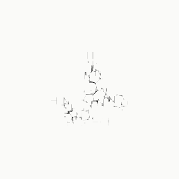 C[C@]1(N2CCc3c(-c4cnc(N)nc4)nc(N4CCOCC4)nc32)CCN(C(=O)C(F)(F)CN)C1.Cl